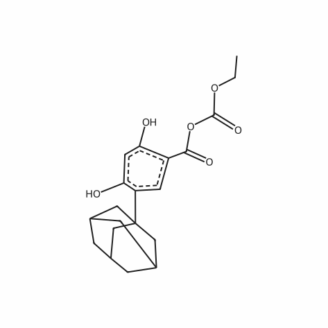 CCOC(=O)OC(=O)c1cc(C23CC4CC(CC(C4)C2)C3)c(O)cc1O